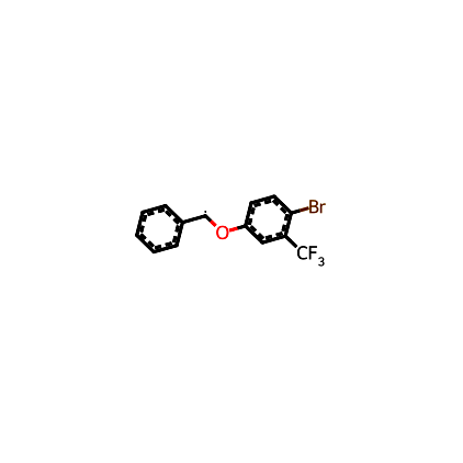 FC(F)(F)c1cc(O[CH]c2ccccc2)ccc1Br